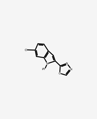 CC(C)n1c(-c2nnco2)cc2ccc(Cl)cc21